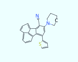 N#Cc1c(N2CCCCC2)cc(-c2cccs2)c2c1-c1cccc3cccc-2c13